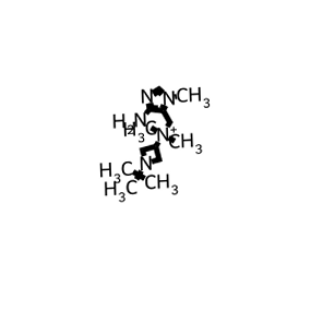 Cn1cnc(N)c1C[N+](C)(C)C1CN(C(C)(C)C)C1